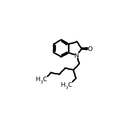 CCCCC(CC)CN1C(=O)Cc2ccccc21